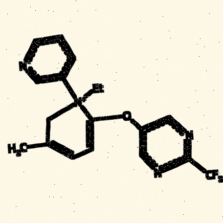 CC[N+]1(c2cccnc2)CC(C)=CC=C1Oc1cnc(C(F)(F)F)nc1